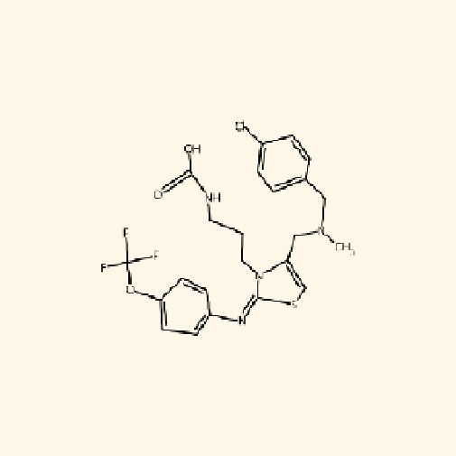 CN(Cc1ccc(Cl)cc1)Cc1csc(=Nc2ccc(OC(F)(F)F)cc2)n1CCCNC(=O)O